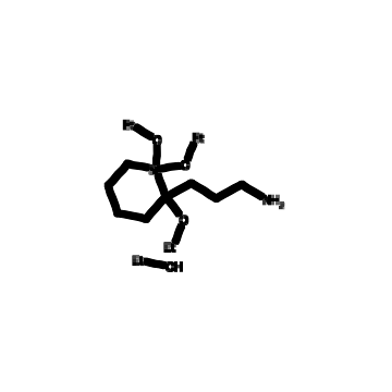 CCO.CCOC1(CCCN)CCCC[Si]1(OCC)OCC